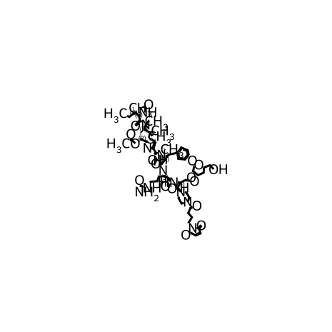 CC[C@H](C)[C@H](NC=O)C(=O)N(C)[C@H](C[C@@H](OC(C)=O)c1nc(C(=O)N(C)[C@H]2Cc3ccc(cc3)OC3OC(CO)CC4OC(OC43)[C@@H](C(=O)N3CCN(C(=O)CCCN4C(=O)C=CC4=O)CC3)NC(=O)[C@H](CCCNC(N)=O)NC2=O)cs1)C(C)C